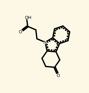 O=C(O)CCn1c2c(c3ccccc31)CC(=O)CC2